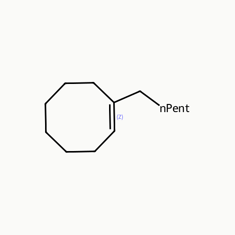 CCCCCC/C1=C/CCCCCC1